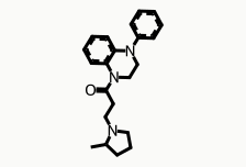 CC1CCCN1CCC(=O)N1CCN(c2ccccc2)c2ccccc21